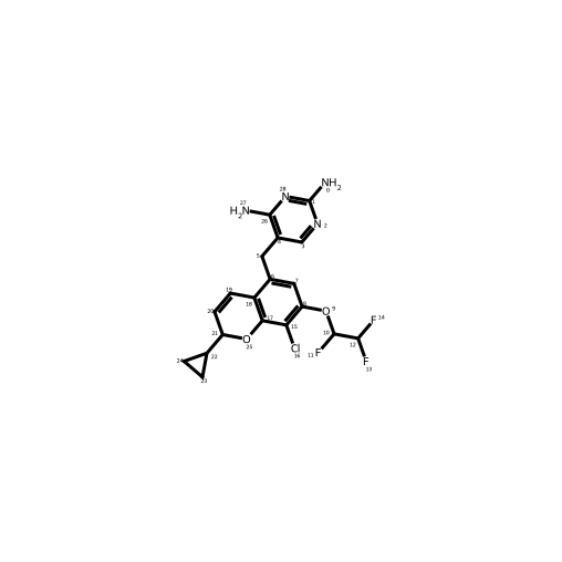 Nc1ncc(Cc2cc(OC(F)C(F)F)c(Cl)c3c2C=CC(C2CC2)O3)c(N)n1